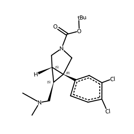 CN(C)C[C@H]1[C@@H]2CN(C(=O)OC(C)(C)C)C[C@]12c1ccc(Cl)c(Cl)c1